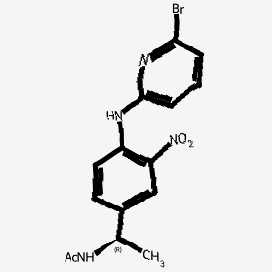 CC(=O)N[C@H](C)c1ccc(Nc2cccc(Br)n2)c([N+](=O)[O-])c1